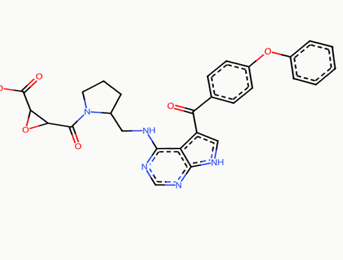 COC(=O)C1OC1C(=O)N1CCCC1CNc1ncnc2[nH]cc(C(=O)c3ccc(Oc4ccccc4)cc3)c12